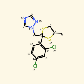 CC1CSC(Cn2cncn2)(c2ccc(Cl)cc2Cl)S1